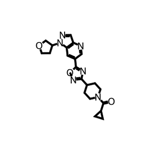 O=C(C1CC1)N1CCC(c2noc(-c3cnc4cnn(C5CCOC5)c4c3)n2)CC1